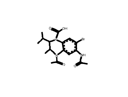 CC(=O)Nc1cc2c(cc1Br)N(C(=O)O)C(C(C)C)C(C)N2C(C)=O